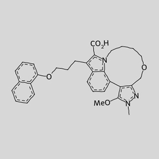 COc1c2c(nn1C)COCCCCn1c(C(=O)O)c(CCCOc3cccc4ccccc34)c3cccc-2c31